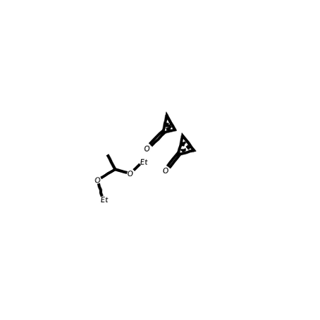 CCOC(C)OCC.O=c1cc1.O=c1cc1